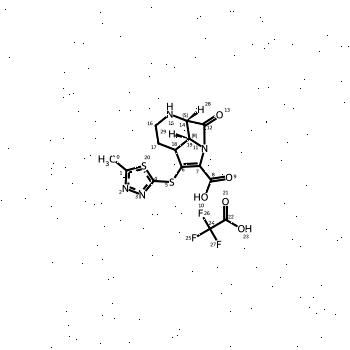 Cc1nnc(SC2=C(C(=O)O)N3C(=O)[C@H]4NCCC2[C@H]43)s1.O=C(O)C(F)(F)F